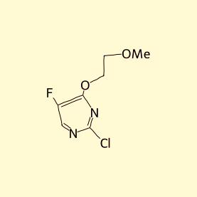 COCCOc1nc(Cl)ncc1F